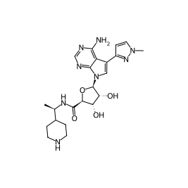 C[C@@H](NC(=O)[C@H]1O[C@@H](n2cc(-c3ccn(C)n3)c3c(N)ncnc32)[C@H](O)[C@@H]1O)C1CCNCC1